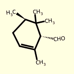 CC1=CC[C@@H](C)C(C)(C)[C@@H]1C=O